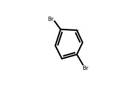 Brc1[c]cc(Br)cc1